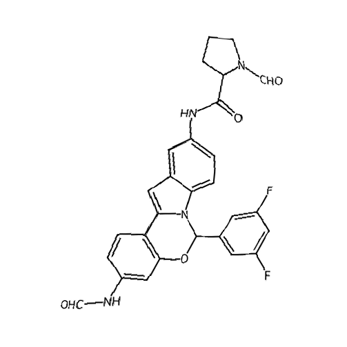 O=CNc1ccc2c(c1)OC(c1cc(F)cc(F)c1)n1c-2cc2cc(NC(=O)C3CCCN3C=O)ccc21